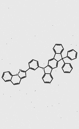 c1ccc(C2(c3ccccc3)c3ccccc3-c3cc4c(cc32)c2ccccc2n4-c2cccc(-c3cc4ccc5ccccc5n4n3)c2)cc1